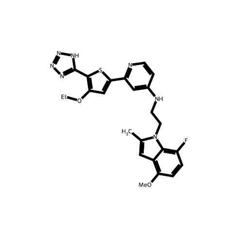 CCOc1cc(-c2cc(NCCn3c(C)cc4c(OC)ccc(F)c43)ccn2)sc1-c1nnn[nH]1